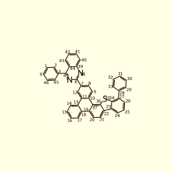 c1ccc(-c2nc(-c3ccc4c(c3)c3ccccc3c3ccc5c6cccc(-c7ccccc7)c6sc5c34)nc3ccccc23)cc1